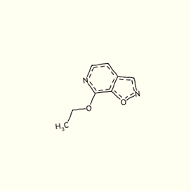 CCOc1nccc2cnoc12